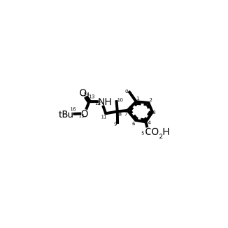 Cc1ccc(C(=O)O)cc1C(C)(C)CNC(=O)OC(C)(C)C